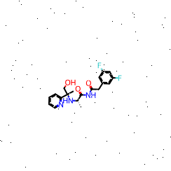 C[C@H](NC(C)(CO)c1ccccn1)C(=O)NC(=O)Cc1cc(F)cc(F)c1